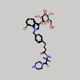 CC(C)(NC(=O)CCCc1ccc(Cn2cc([C@@H]3O[C@H](CO)[C@@H](O)[C@H](O)[C@H]3O)c3cccc(Cl)c32)cc1)C(=O)N1CCNCC1